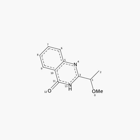 COC(C)c1nc2ccccc2c(=O)[nH]1